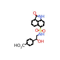 O=C(O)c1ccc(C(O)CNS(=O)(=O)c2ccc3c4c(cccc24)C(=O)N3)cc1